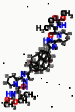 COC(=O)N[C@H](C(=O)N1CCCC[C@H]1c1nc(-c2ccc(-c3cc4ccc3CCc3ccc(c(-c5ccc(-c6c[nH]c([C@@H]7CCCCN7C(=O)[C@@H](NC(=O)OC)C(C)C)n6)cc5)c3)CC4)cc2)c[nH]1)C(C)C